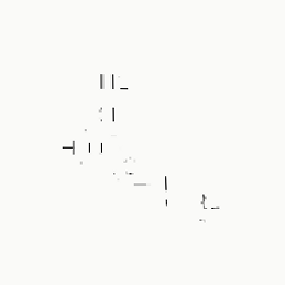 Cl.Cl.Cl.O.O.[Ru]